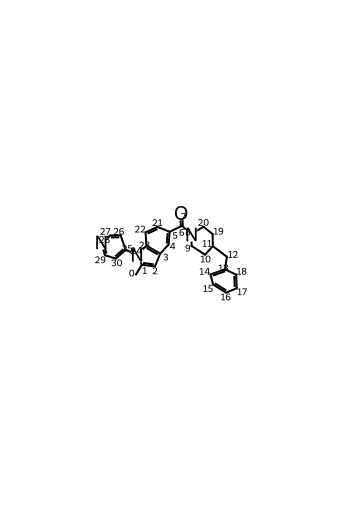 Cc1cc2cc(C(=O)N3CCC(Cc4ccccc4)CC3)ccc2n1-c1ccncc1